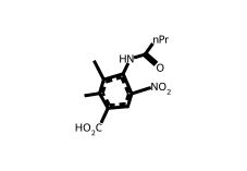 CCCC(=O)Nc1c([N+](=O)[O-])cc(C(=O)O)c(C)c1C